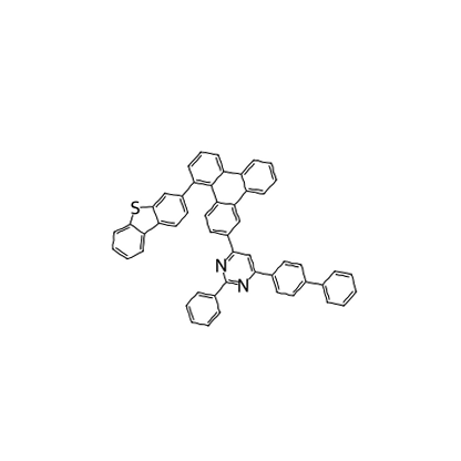 c1ccc(-c2ccc(-c3cc(-c4ccc5c(c4)c4ccccc4c4cccc(-c6ccc7c(c6)sc6ccccc67)c45)nc(-c4ccccc4)n3)cc2)cc1